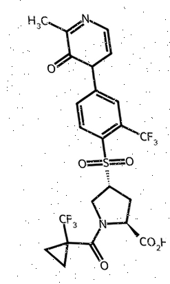 CC1=NC=CC(c2ccc(S(=O)(=O)[C@@H]3C[C@@H](C(=O)O)N(C(=O)C4(C(F)(F)F)CC4)C3)c(C(F)(F)F)c2)C1=O